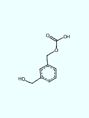 O=C(O)OCc1cccc(CO)c1